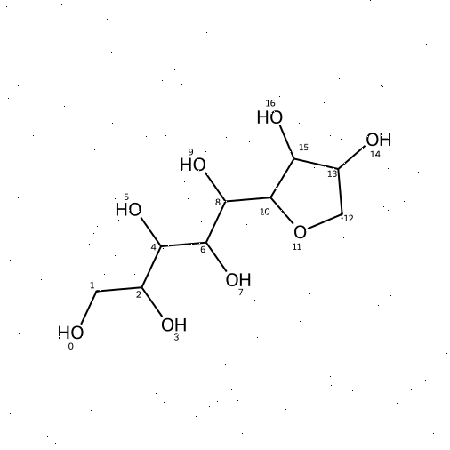 OCC(O)C(O)C(O)C(O)C1O[CH]C(O)C1O